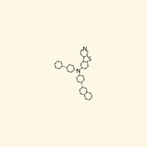 c1ccc(-c2ccc(N(c3ccc(-c4ccc5ccccc5c4)cc3)c3ccc4sc5cnccc5c4c3)cc2)cc1